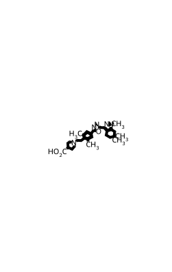 Cc1cc(-c2nnc(-c3nn(C)c4c3CCC(C)(C)C4)o2)cc(C)c1CCN1CCC(C(=O)O)CC1